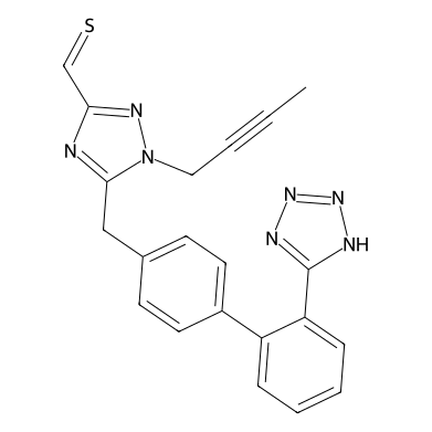 CC#CCn1nc(C=S)nc1Cc1ccc(-c2ccccc2-c2nnn[nH]2)cc1